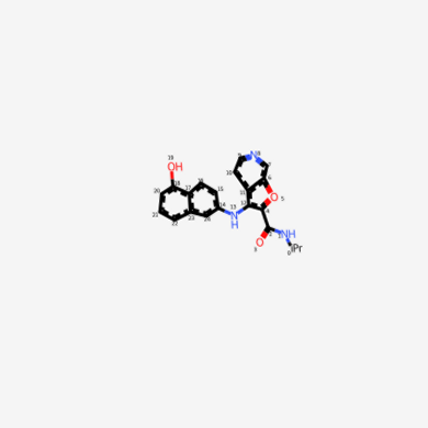 CC(C)NC(=O)c1oc2cnccc2c1Nc1ccc2c(O)cccc2c1